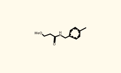 COCCC(=O)NCc1ccc(C)cc1